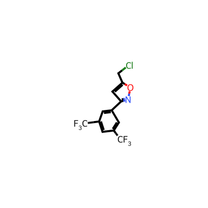 FC(F)(F)c1cc(-c2cc(CCl)on2)cc(C(F)(F)F)c1